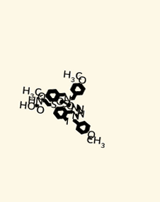 COc1ccc(CN(Cc2ccc(OC)cc2)S(=O)(=O)c2c(SCCNC(=O)O)ccc(I)c2-c2nnnn2Cc2ccc(OC)cc2)cc1